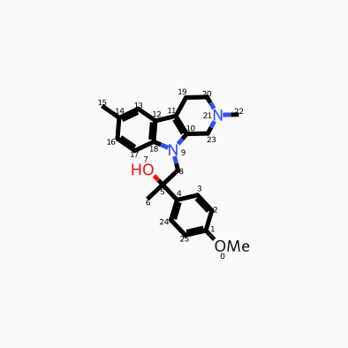 COc1ccc(C(C)(O)Cn2c3c(c4cc(C)ccc42)CCN(C)C3)cc1